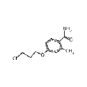 Cc1cc(OCCCCl)ccc1C(N)=O